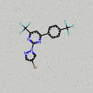 FC(F)(F)c1ccc(-c2cc(C(F)(F)F)nc(-n3cc(Br)cn3)n2)cc1